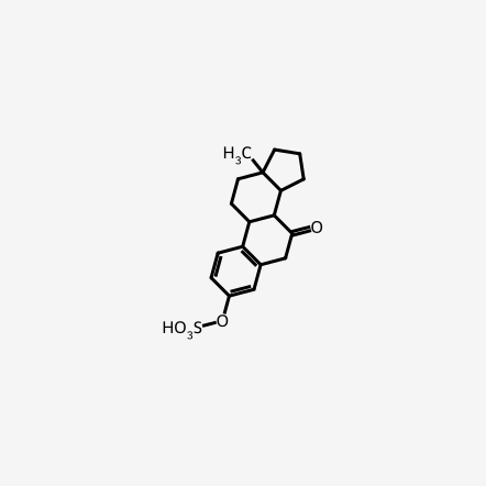 CC12CCCC1C1C(=O)Cc3cc(OS(=O)(=O)O)ccc3C1CC2